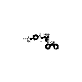 O=C(Nc1ccc(-c2nn[nH]n2)cc1)c1n[nH]cc1CNc1ccccc1C(O)c1ccccc1